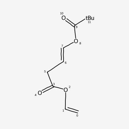 C=COC(=O)CC=COC(=O)C(C)(C)C